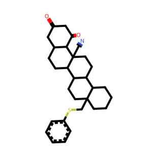 N#CC12CCC3C(CCC4(CSc5ccccc5)CCCCC34)C1CCC1CC(=O)CC(=O)C12